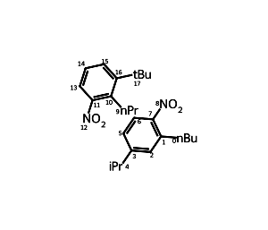 CCCCc1cc(C(C)C)ccc1[N+](=O)[O-].CCCc1c([N+](=O)[O-])cccc1C(C)(C)C